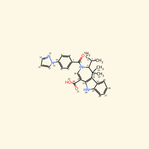 CC(C)C1N(C(=O)c2ccc(-n3cccn3)cc2)C=C(C(=O)O)c2[nH]c3ccccc3c2C1(C)C